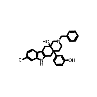 Oc1cccc(C23CCN(Cc4ccccc4)CC2(O)Cc2c([nH]c4cc(Cl)ccc24)C3)c1